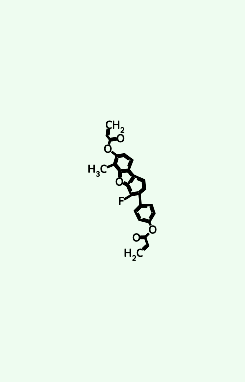 C=CC(=O)Oc1ccc(-c2ccc3c(oc4c(C)c(OC(=O)C=C)ccc43)c2F)cc1